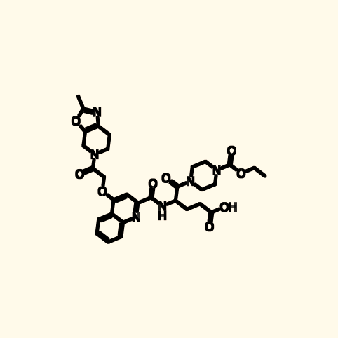 CCOC(=O)N1CCN(C(=O)C(CCC(=O)O)NC(=O)c2cc(OCC(=O)N3CCc4nc(C)oc4C3)c3ccccc3n2)CC1